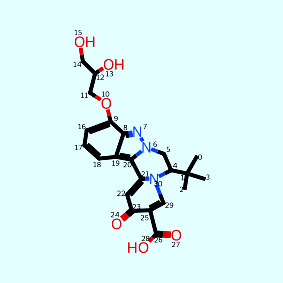 CC(C)(C)C1Cn2nc3c(OCC(O)CO)cccc3c2-c2cc(=O)c(C(=O)O)cn21